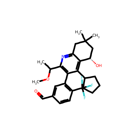 COC(C)c1nc2c(c(C3CCCC3)c1-c1cc(C=O)ccc1C(F)(F)F)[C@@H](O)CC(C)(C)C2